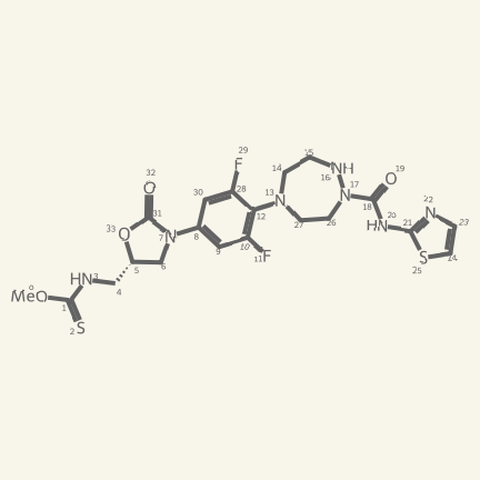 COC(=S)NC[C@H]1CN(c2cc(F)c(N3CCNN(C(=O)Nc4nccs4)CC3)c(F)c2)C(=O)O1